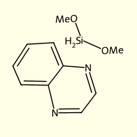 CO[SiH2]OC.c1ccc2nccnc2c1